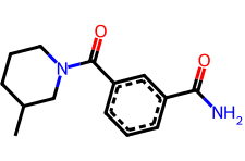 CC1CCCN(C(=O)c2cccc(C(N)=O)c2)C1